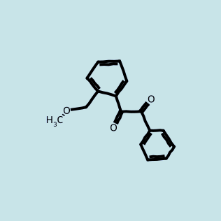 COCc1ccccc1C(=O)C(=O)c1ccccc1